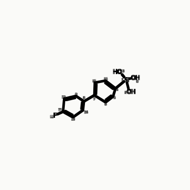 O[Si](O)(O)c1ccc(-c2ccc(F)cc2)cc1